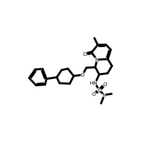 Cc1ccc2n(c1=O)C(COC1CCC(c3ccccc3)CC1)C(NS(=O)(=O)N(C)C)CC2